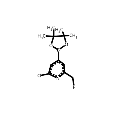 CC1(C)OB(c2cc(Cl)nc(CF)c2)OC1(C)C